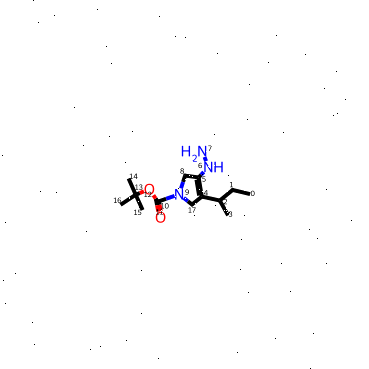 CCC(C)C1=C(NN)CN(C(=O)OC(C)(C)C)C1